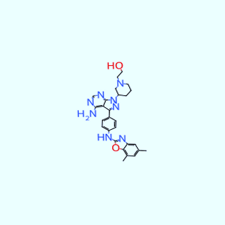 Cc1cc(C)c2oc(Nc3ccc(-c4nn(C5CCCN(CCO)C5)c5ncnc(N)c45)cc3)nc2c1